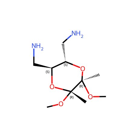 CO[C@]1(C)O[C@@H](CN)[C@H](CN)O[C@@]1(C)OC